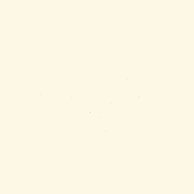 CCCOc1cc(/C=C/c2cc(OC)c(OC)c(OC)c2)oc(=O)c1